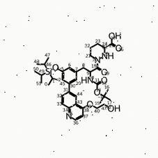 CC(C)[Si](Oc1cc(CC(NC(=O)OC(C)(C)C)C(=O)N2CCC[C@@H](C(=O)O)N2)cc(-c2ccc3nccc(OCCO)c3c2)c1)(C(C)C)C(C)C